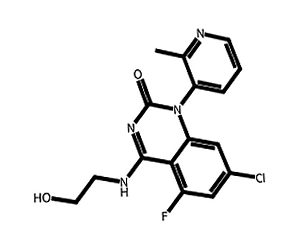 Cc1ncccc1-n1c(=O)nc(NCCO)c2c(F)cc(Cl)cc21